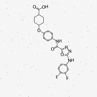 O=C(Nc1ccc(OC2CCC(C(=O)O)CC2)cc1)c1nnc(Nc2ccc(F)c(F)c2)o1